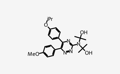 COc1ccc(-c2nnc(N(C(C)(C)O)C(C)(C)O)nc2-c2ccc(OC(C)C)cc2)cc1